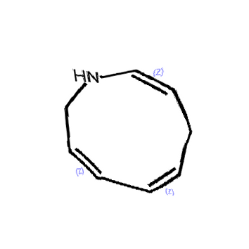 C1=C\C/C=C\NC\C=C/1